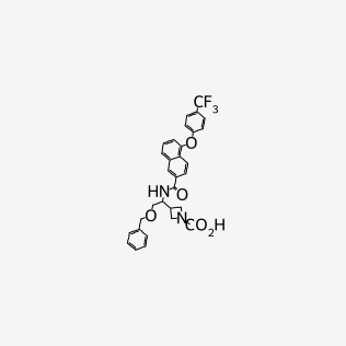 O=C(NC(COCc1ccccc1)C1CN(C(=O)O)C1)c1ccc2c(Oc3ccc(C(F)(F)F)cc3)cccc2c1